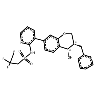 O=S(=O)(CC(F)(F)F)Nc1ncccc1-c1ccc2c(c1)OC[C@@H](Cc1ccccn1)[C@@H]2O